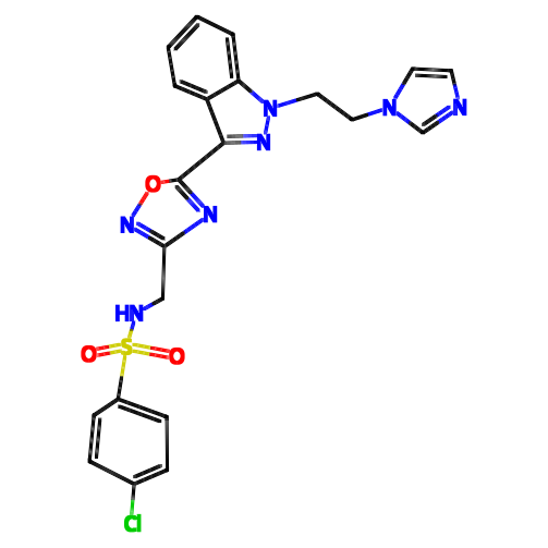 O=S(=O)(NCc1noc(-c2nn(CCn3ccnc3)c3ccccc23)n1)c1ccc(Cl)cc1